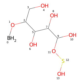 BOC(CO)C(O)C(O)C(O)OSO